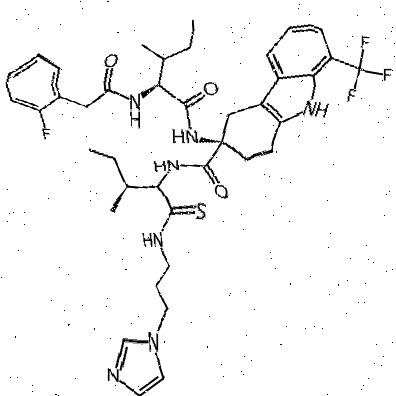 CCC(C)[C@H](NC(=O)Cc1ccccc1F)C(=O)N[C@]1(C(=O)NC(C(=S)NCCCn2ccnc2)[C@@H](C)CC)CCc2[nH]c3c(C(F)(F)F)cccc3c2C1